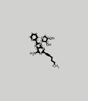 CCCCC#Cc1nc(N)c2nc(-c3ccccn3)n([C@@H]3OC[C@@H](O)[C@H]3O)c2n1